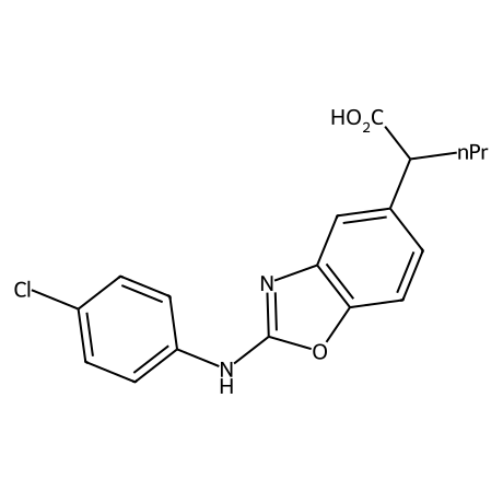 CCCC(C(=O)O)c1ccc2oc(Nc3ccc(Cl)cc3)nc2c1